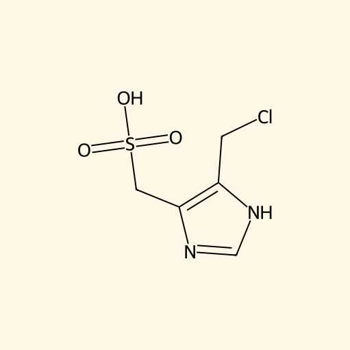 O=S(=O)(O)Cc1nc[nH]c1CCl